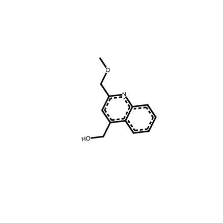 COCc1cc(CO)c2ccccc2n1